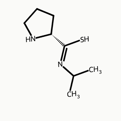 CC(C)/N=C(\S)[C@H]1CCCN1